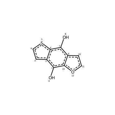 Oc1c2ccsc2c(O)c2ccoc12